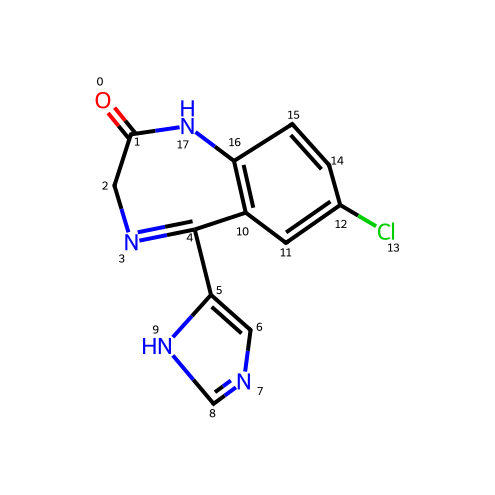 O=C1CN=C(c2cnc[nH]2)c2cc(Cl)ccc2N1